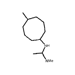 CNC(C)NC1CCCC(C)CCC1